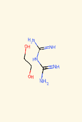 N=C(N)NC(=N)N.OCCO